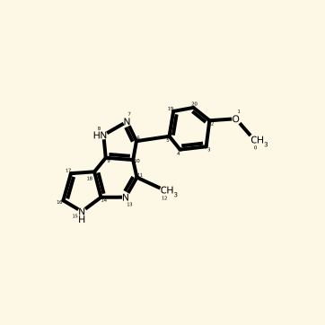 COc1ccc(-c2n[nH]c3c2c(C)nc2[nH]ccc23)cc1